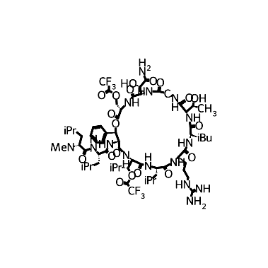 CC[C@H](C)[C@@H]1NC(=O)[C@@H](CCCNC(=N)N)NC(=O)[C@H](CC(C)C)NC(=O)[C@H]([C@H](OC(=O)C(F)(F)F)C(C)C)NC(=O)[C@@H](NC(=O)[C@H](CC(C)C)NC(=O)[C@@H](CC(C)C)NC)[C@@H](c2ccccc2)OC(=O)[C@H](COC(=O)C(F)(F)F)NC(=O)[C@H]([C@H](O)C(N)=O)NC(=O)CNC(=O)[C@H]([C@H](C)O)NC1=O